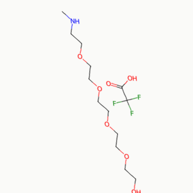 CNCCOCCOCCOCCOCCO.O=C(O)C(F)(F)F